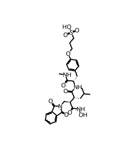 CNC(=O)[C@H](Cc1ccc(OCCCS(=O)(=O)O)cc1)NC(=O)[C@H](CC(C)C)[C@H](CN1C(=O)c2ccccc2C1=O)C(=O)NO